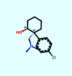 CN(C)C[C@@]1(c2ccc(Cl)cc2)CCCC[C@@H]1O